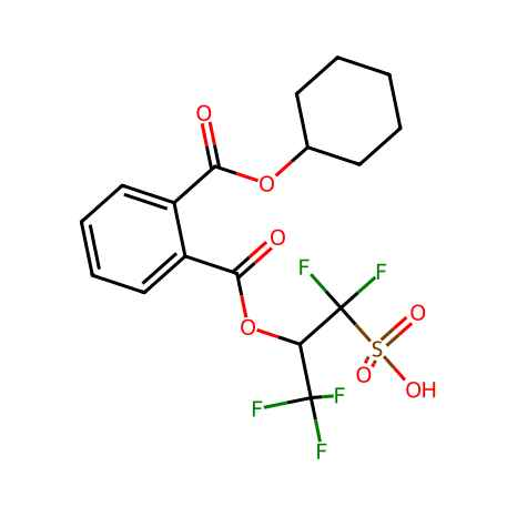 O=C(OC1CCCCC1)c1ccccc1C(=O)OC(C(F)(F)F)C(F)(F)S(=O)(=O)O